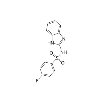 O=S(=O)(Nc1nc2ccccc2[nH]1)c1ccc(F)cc1